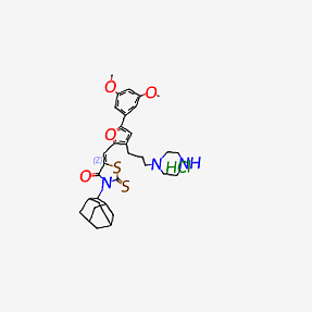 COc1cc(OC)cc(-c2cc(CCCN3CCNCC3)c(/C=C3\SC(=S)N(C4C5CC6CC(C5)CC4C6)C3=O)o2)c1.Cl